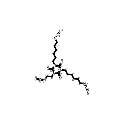 O=C=NCCCCCCn1c(=O)n(CCCCCCN=C=O)c(=O)n(CCN=C=O)c1=O